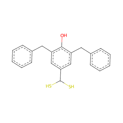 Oc1c(Cc2ccccc2)cc([C](S)S)cc1Cc1ccccc1